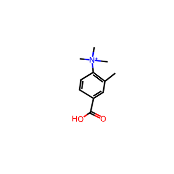 Cc1cc(C(=O)O)ccc1[N+](C)(C)C